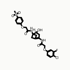 CS(=O)(=O)c1ccc(OCC(=O)NC23CC(=C(NC(=O)COc4ccc(Cl)c(F)c4)C[C@@H]2O)C3)cc1